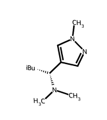 CC[C@@H](C)[C@H](c1cnn(C)c1)N(C)C